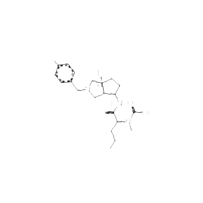 CCCC(C(=O)NC1CC[C@H]2CN(Cc3ccc(F)cc3)CC12)N(C)C(=O)O